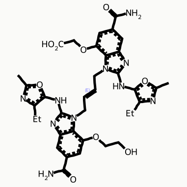 CCc1nc(C)oc1Nc1nc2cc(C(N)=O)cc(OCCO)c2n1C/C=C/Cn1c(Nc2oc(C)nc2CC)nc2cc(C(N)=O)cc(OCC(=O)O)c21